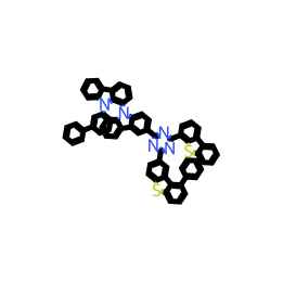 c1ccc(-c2cccc(-n3c4ccccc4c4cccc(-n5c6ccccc6c6cc(-c7nc(-c8ccc9sc%10cccc(-c%11ccccc%11)c%10c9c8)nc(-c8cccc9c8sc8ccccc89)n7)ccc65)c43)c2)cc1